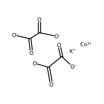 O=C([O-])C(=O)[O-].O=C([O-])C(=O)[O-].[Co+3].[K+]